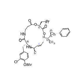 COc1ccc(C[C@H]2NC(=O)/C=C/C[C@@H]([C@H](C)[C@H]3O[C@@H]3c3ccccc3)OC(=O)[C@H](CC(C)C)OC(=O)CCNC2=O)cc1Cl